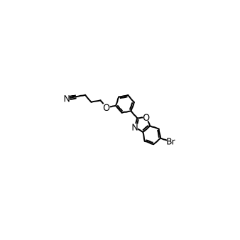 N#CCCCOc1cccc(-c2nc3ccc(Br)cc3o2)c1